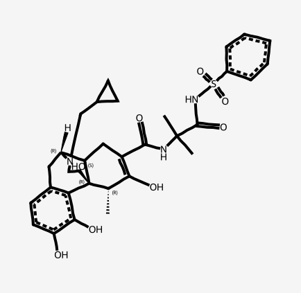 C[C@H]1C(O)=C(C(=O)NC(C)(C)C(=O)NS(=O)(=O)c2ccccc2)C[C@@]2(O)[C@H]3Cc4ccc(O)c(O)c4[C@@]12CCN3CC1CC1